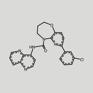 O=C(Nc1ccnc2cccnc12)N1CCCOc2ccc(-c3cccc(Cl)c3)nc21